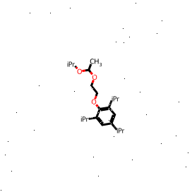 CC(C)OC(C)OCCOc1c(C(C)C)cc(C(C)C)cc1C(C)C